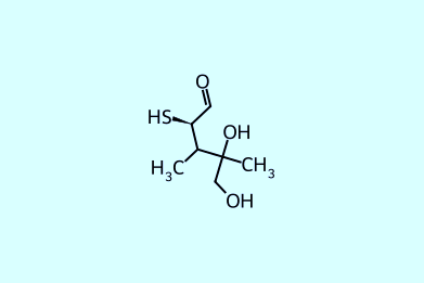 CC([C@@H](S)C=O)C(C)(O)CO